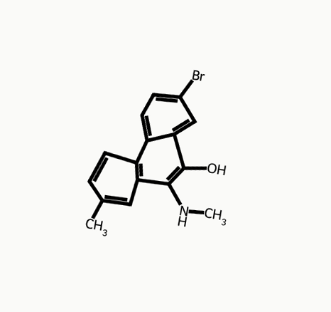 CNc1c(O)c2cc(Br)ccc2c2ccc(C)cc12